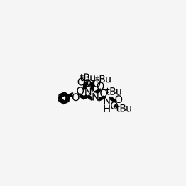 CC(C)(C)OC(=O)CNCCN(CC(=O)OC(C)(C)C)CC(CC(=O)OCc1ccccc1)N(CC(=O)OC(C)(C)C)CC(=O)OC(C)(C)C